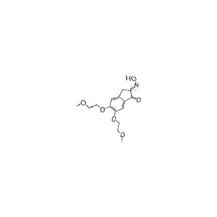 COCCOc1cc2c(cc1OCCOC)C(=O)/C(=N/O)C2